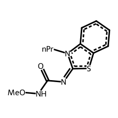 CCCn1c(=NC(=O)NOC)sc2ccccc21